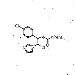 CCCCCC(=O)SC(c1ccc(Cl)cc1)C(Cl)n1ccnc1